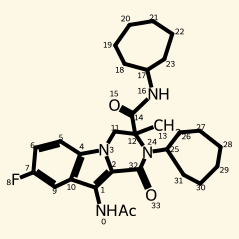 CC(=O)Nc1c2n(c3ccc(F)cc13)CC(C)(C(=O)NC1CCCCCC1)N(C1CCCCCC1)C2=O